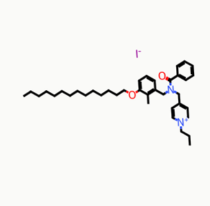 CCCCCCCCCCCCCCOc1cccc(CN(Cc2cc[n+](CCC)cc2)C(=O)c2ccccc2)c1C.[I-]